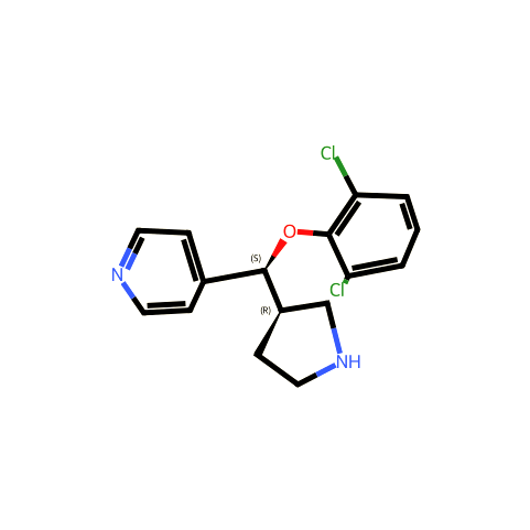 Clc1cccc(Cl)c1O[C@H](c1ccncc1)[C@@H]1CCNC1